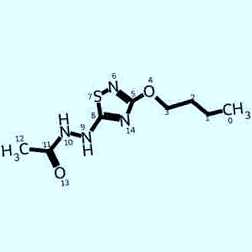 CCCCOc1nsc(NNC(C)=O)n1